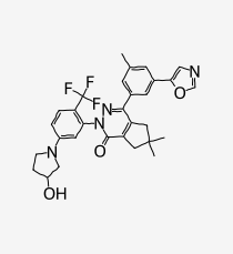 Cc1cc(-c2cnco2)cc(-c2nn(-c3cc(N4CCC(O)C4)ccc3C(F)(F)F)c(=O)c3c2CC(C)(C)C3)c1